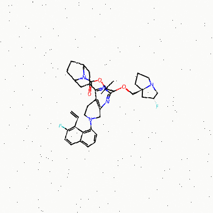 C=Cc1c(F)ccc2cccc(N3CCc4c(nc(OC[C@@]56CCCN5C[C@H](F)C6)nc4C4CC5CCC(C4)N5C(=O)OC(C)(C)C)C3)c12